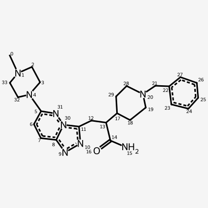 CN1CCN(c2ccc3nnc(CC(C(N)=O)C4CCN(Cc5ccccc5)CC4)n3n2)CC1